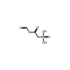 O=COC(=O)CP(=O)(O)O